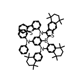 CC1(C)CCC(C)(C)c2cc(N3c4cc5c(cc4B4c6sc7cc8c(cc7c6N(c6cccc7c6sc6ccccc67)c6cc(N(c7ccccc7)c7ccccc7)cc3c64)C(C)(C)CCC8(C)C)C(C)(C)CCC5(C)C)ccc21